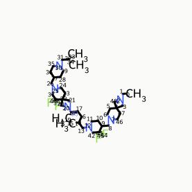 CCN1CC2(CCN(CC3CCN(CC(C)C/C=C(\C)N4CC5(CCN(CC6CCN(CC(C)C)CC6)CC5(F)F)C4)CC3(F)F)CC2)C1